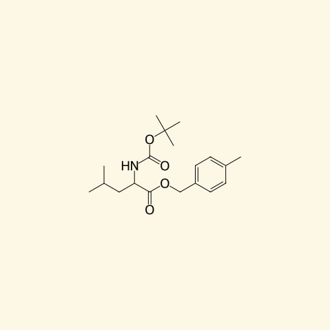 Cc1ccc(COC(=O)C(CC(C)C)NC(=O)OC(C)(C)C)cc1